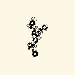 Cc1ncnc(C(=O)N2CCN(c3c4n(c5nc(N6CCOCC6)nn5c3=O)[C@@H](C(=O)Nc3ccc(C(F)(F)F)cc3Cl)C[C@@H]4C)CC2)c1OCc1ccccc1